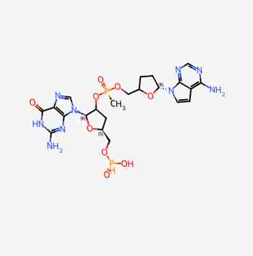 CP(=O)(OCC1CC[C@H](n2ccc3c(N)ncnc32)O1)OC1C[C@@H](CO[PH](=O)O)O[C@H]1n1cnc2c(=O)[nH]c(N)nc21